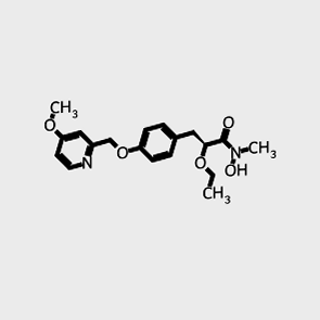 CCO[C@@H](Cc1ccc(OCc2cc(OC)ccn2)cc1)C(=O)N(C)O